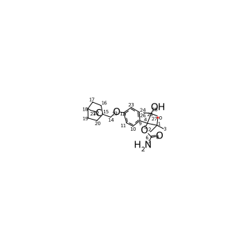 CC(C)(C)C(OC(N)=O)(c1ccc(OCC23CCC(CC2)CC3)cc1)C(C)(C)O